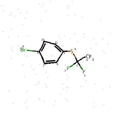 FC(F)(F)C(F)(F)Sc1ccc(Br)cc1